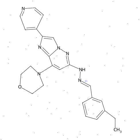 CCc1cccc(/C=N/Nc2cc(N3CCOCC3)c3nc(-c4ccncc4)cn3n2)c1